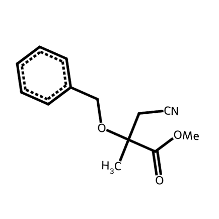 COC(=O)C(C)(CC#N)OCc1ccccc1